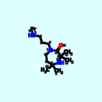 CC(C)NCCCN1CCC(C)(C)NC(C)(C)C1=O